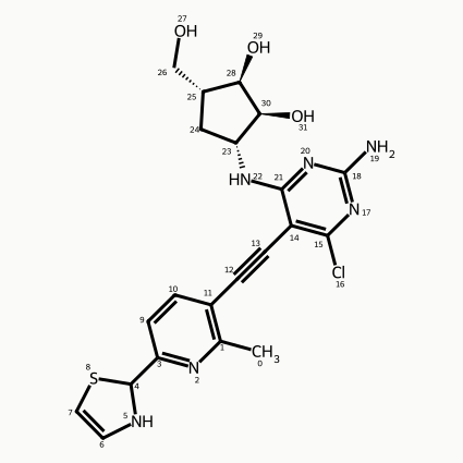 Cc1nc(C2NC=CS2)ccc1C#Cc1c(Cl)nc(N)nc1N[C@@H]1C[C@H](CO)[C@@H](O)[C@H]1O